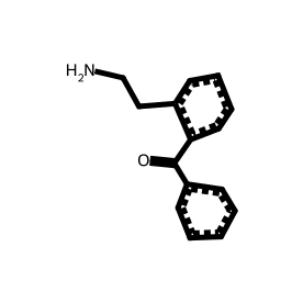 NCCc1ccccc1C(=O)c1ccccc1